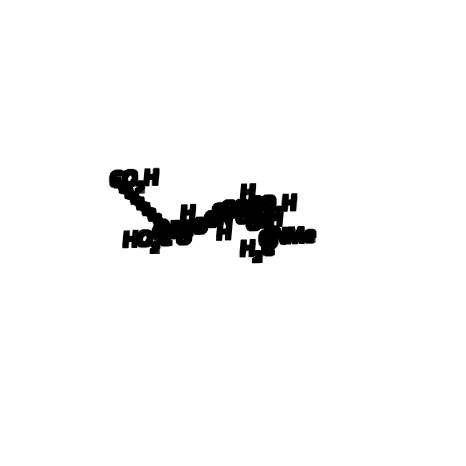 C=CC(=O)[C@H](CCCCNC(=O)CCC(NC(=O)C/C=C(/NC(=O)COCCOCCNC(=O)CCC(NC(=O)CCCCCCCCCCCCCCCCC(=O)O)C(=O)O)C(=O)O)C(=O)O)NC